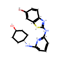 O[C@H]1CC[C@H](Nc2cccc(Nc3nc4ccc(Br)cc4s3)n2)CC1